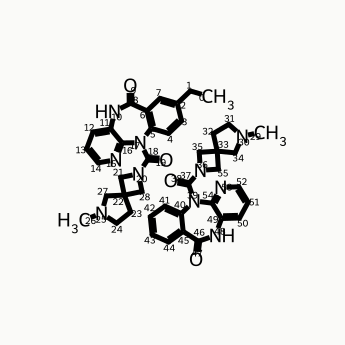 CCc1ccc2c(c1)C(=O)Nc1cccnc1N2C(=O)N1CC2(CCN(C)C2)C1.CN1CCC2(C1)CN(C(=O)N1c3ccccc3C(=O)Nc3cccnc31)C2